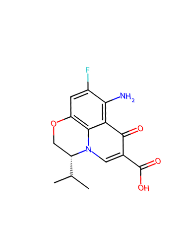 CC(C)[C@@H]1COc2cc(F)c(N)c3c(=O)c(C(=O)O)cn1c23